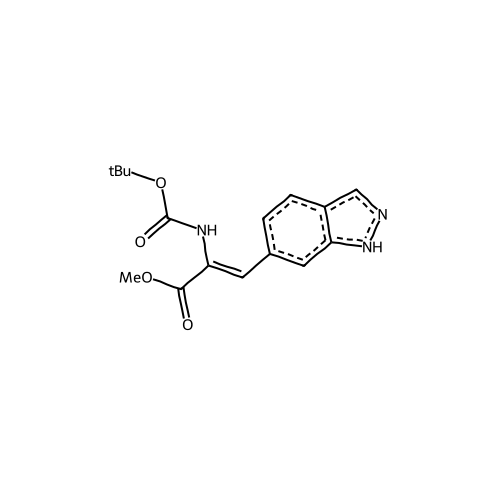 COC(=O)/C(=C/c1ccc2cn[nH]c2c1)NC(=O)OC(C)(C)C